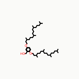 CC(C)CCCC(C)CCCC(C)CCCC(C)CCOc1ccc(OCCC(C)CCCC(C)CCCC(C)CCCC(C)C)c(CO)c1